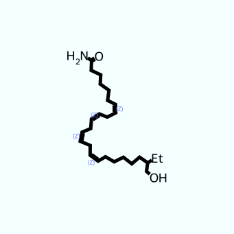 CCC(CO)CCCCC/C=C\C/C=C\C/C=C\C/C=C\CCCCCC(N)=O